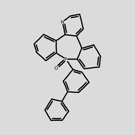 O=P1(c2cccc(-c3ccccc3)c2)c2ccccc2-c2cccnc2-c2ccccc21